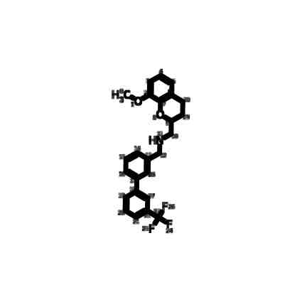 COc1cccc2c1OC(CNCc1cccc(-c3cccc(C(F)(F)F)c3)c1)CC2